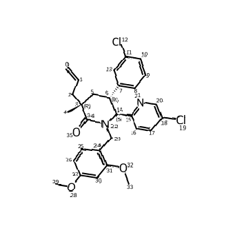 C=CC[C@]1(C)C[C@H](c2cccc(Cl)c2)[C@@H](c2ccc(Cl)cn2)N(Cc2ccc(OC)cc2OC)C1=O